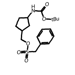 CC(C)(C)OC(=O)NC1CCC(COS(=O)(=O)Cc2ccccc2)C1